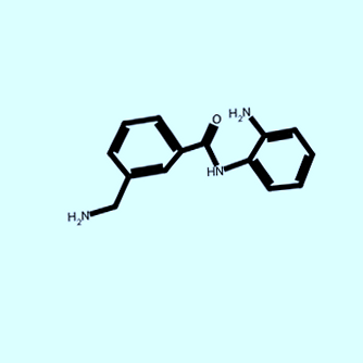 NCc1cccc(C(=O)Nc2ccccc2N)c1